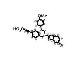 COc1ccc(CCN(Cc2ccc(C#CC(=O)O)cc2)c2nc3cc(Br)ccc3s2)cc1